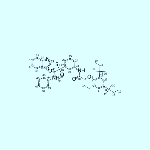 CCC(Oc1ccc(C(C)(C)CC)cc1C(C)(C)CC)C(=O)Nc1cccc(C(OC)(Sc2nc3ccccc3o2)C(=O)Nc2ccccc2)c1